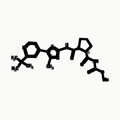 Cc1nc(NC(=O)N2CCC[C@H]2C(=O)NC(=O)OC(C)(C)C)sc1-c1ccnc(C(C)(C)C(F)(F)F)c1